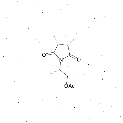 CC(=O)OC[C@H](C)N1C(=O)[C@@H](C)[C@@H](C)C1=O